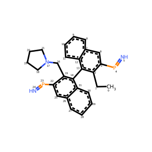 CCc1c(P=N)cc2ccccc2c1-c1c(CN2CCCC2)c(P=N)cc2ccccc12